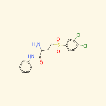 NC(CCS(=O)(=O)c1ccc(Cl)c(Cl)c1)C(=O)Nc1ccccc1